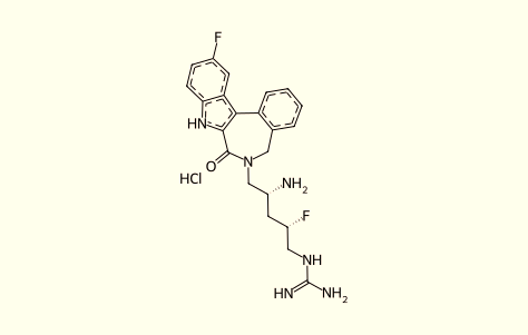 Cl.N=C(N)NC[C@@H](F)C[C@@H](N)CN1Cc2ccccc2-c2c([nH]c3ccc(F)cc23)C1=O